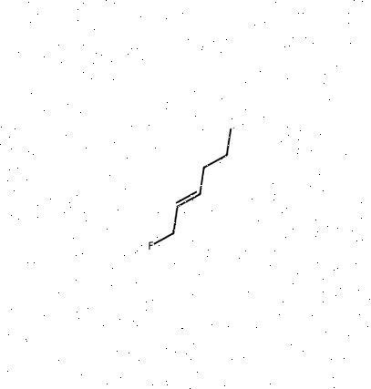 [CH2]CC/C=C/CF